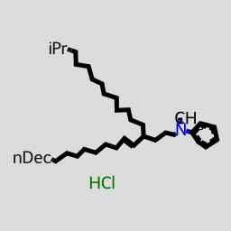 CCCCCCCCCCCCCCCCCC=CC(CCCCCCCCCCCC(C)C)CCCN(C)c1ccccc1.Cl